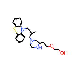 CC(CN1CCNC(CCOCCO)C1)CN1c2ccccc2Sc2ccccc21